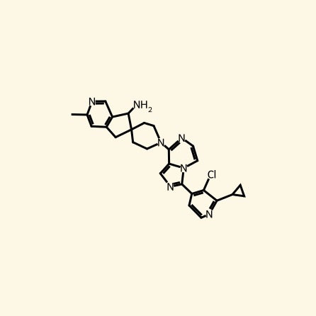 Cc1cc2c(cn1)C(N)C1(CCN(c3nccn4c(-c5ccnc(C6CC6)c5Cl)ncc34)CC1)C2